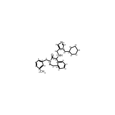 Cc1cccc(CN2CCc3ccccc3C(NCc3cncn3CC3CCCCC3)C2=O)c1